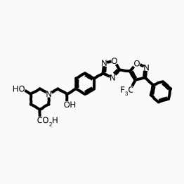 O=C(O)C1CC(O)CN(CC(O)c2ccc(-c3noc(-c4onc(-c5ccccc5)c4C(F)(F)F)n3)cc2)C1